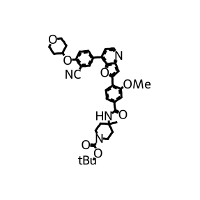 COc1cc(C(=O)NC2(C)CCN(C(=O)OC(C)(C)C)CC2)ccc1-c1cc2nccc(-c3ccc(OC4CCOCC4)c(C#N)c3)c2o1